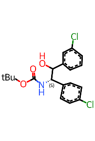 CC(C)(C)OC(=O)N[C@@H](c1ccc(Cl)cc1)C(O)c1cccc(Cl)c1